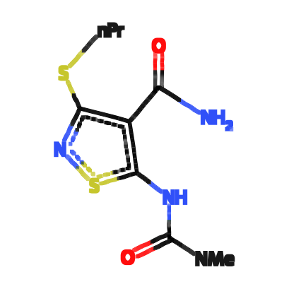 CCCSc1nsc(NC(=O)NC)c1C(N)=O